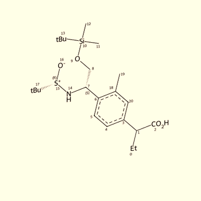 CCC(C(=O)O)c1ccc([C@@H](CO[Si](C)(C)C(C)(C)C)N[S@@+]([O-])C(C)(C)C)c(C)c1